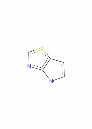 C1=Cc2scnc2[N]1